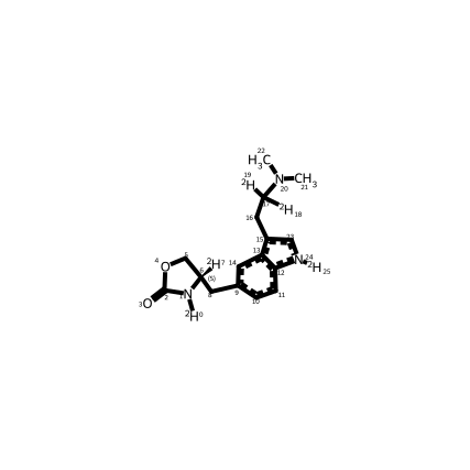 [2H]N1C(=O)OC[C@]1([2H])Cc1ccc2c(c1)c(CC([2H])([2H])N(C)C)cn2[2H]